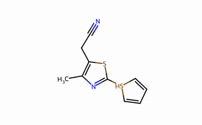 Cc1nc([SH]2C=CC=C2)sc1CC#N